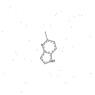 Ic1ccc2[nH]ccc2n1